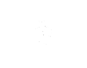 Cc1cc(CC(=O)O)cc2c1NC(=O)C2=O